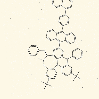 C[C@H]1Cc2cc(C(C)(C)C)ccc2B2c3ccc(C(C)(C)C)cc3N(c3ccccc3)c3cc(-c4c5ccccc5c(-c5ccc(-c6cccc7ccccc67)cc5)c5ccccc45)cc(c32)C1Cc1ccccc1